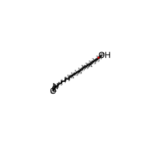 O=C=NCCCCCCCCCCCCCCCCCCCCCCCCCO